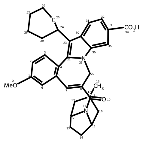 COc1ccc2c(c1)C=C(C(=O)N1C3CCC1CN(C)C3)Cn1c-2c(C2CCCCC2)c2ccc(C(=O)O)cc21